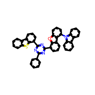 c1ccc(-c2nc(-c3cccc4c3oc3cccc(-n5c6ccccc6c6ccccc65)c34)nc(-c3cccc4c3sc3ccccc34)n2)cc1